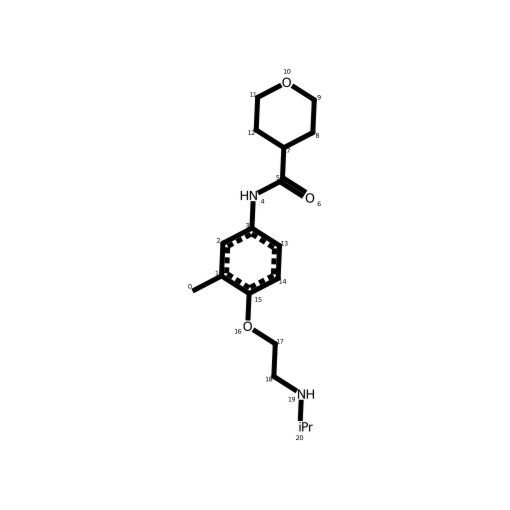 Cc1cc(NC(=O)C2CCOCC2)ccc1OCCNC(C)C